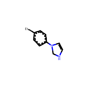 CCc1ccc(N2C=CNC2)cc1